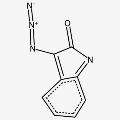 [N-]=[N+]=NC1=c2ccccc2=NC1=O